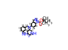 CC(C)(C)OC(=O)n1ncc2cc(N(Cc3cccc(N)c3)C3CCCNC3)ccc21